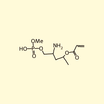 C=CC(=O)OC(C)CC(N)COP(=O)(O)OC